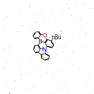 CCCCc1ccc2c3c1Oc1ccccc1B3c1cccc3c4ccccc4n-2c13